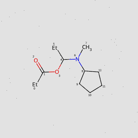 CCC(=O)OC(CC)N(C)C1CCCC1